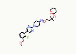 COCc1cccc(-c2cnc(N3CCC(=NOCCC(C)(C)OC4CCCCO4)CC3)nc2)c1F